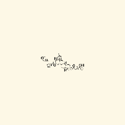 C=C(C)[C@@H]1CC[C@]2(CC(=O)N3CCC[C@@H]3CN3CCOCC3)CC[C@]3(C)[C@H](CC[C@@H]4[C@@]5(C)CC[C@H](OC(=O)CC(C)(C)C(=O)O)C(C)(C)[C@@H]5CC[C@]43C)[C@@H]12